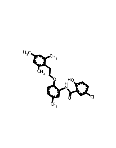 Cc1cc(C)c(CCOc2ccc(C(F)(F)F)cc2NC(=O)c2cc(Cl)ccc2O)c(C)c1